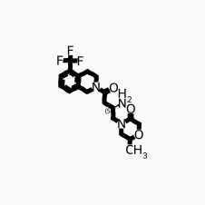 CC1CN(C[C@@H](N)CC(=O)N2CCc3c(cccc3C(F)(F)F)C2)C(=O)CO1